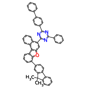 CC1(C)c2ccccc2-c2ccc(-c3cccc4c3oc3cc(-c5nc(-c6ccccc6)nc(-c6ccc(-c7ccccc7)cc6)n5)c5ccccc5c34)cc21